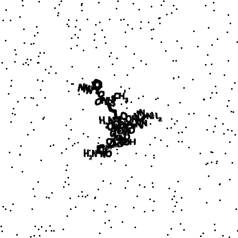 CSSC(CCC(N)C(=O)O[C@H]1[C@@H](O)[C@@H](n2cnc3c(N)ncnc32)O[C@H]1COP(=O)(O)O[C@H]1C[C@H](n2ccc(N)nc2=O)O[C@@H]1COP(=O)(O)O)CNC(=O)OCc1ccccc1N=[N+]=[N-]